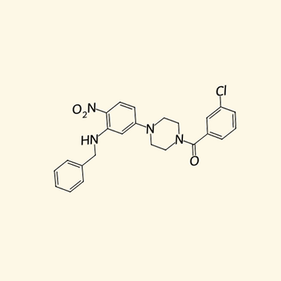 O=C(c1cccc(Cl)c1)N1CCN(c2ccc([N+](=O)[O-])c(NCc3ccccc3)c2)CC1